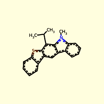 CC(C)c1c2sc3ccccc3c2cc2c3ccccc3n(C)c12